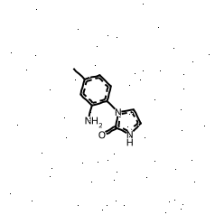 Cc1ccc(-n2cc[nH]c2=O)c(N)c1